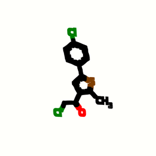 Cc1sc(-c2ccc(Cl)cc2)cc1C(=O)CCl